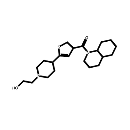 O=C(C1C=C(C2CCN(CCO)CC2)SC1)N1CCCC2CCCCC21